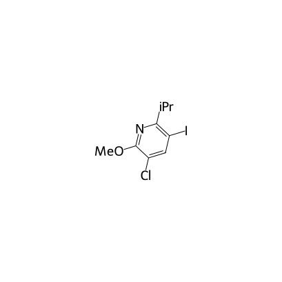 COc1nc(C(C)C)c(I)cc1Cl